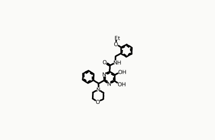 CCOc1ccccc1CNC(=O)c1nc(C(c2ccccc2)N2CCOCC2)nc(O)c1O